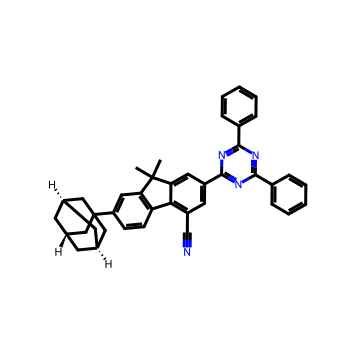 CC1(C)c2cc(C34C[C@H]5C[C@@H](C3)C[C@@H](C4)C5)ccc2-c2c(C#N)cc(-c3nc(-c4ccccc4)nc(-c4ccccc4)n3)cc21